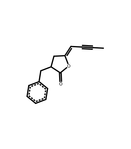 CC#CC=C1CC(Cc2ccccc2)C(=O)O1